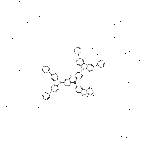 c1ccc(-c2ccc3c(c2)c2cc(-c4ccccc4)ccc2n3-c2ccc3c(c2)Sc2cc(-n4c5ccc(-c6ccccc6)cc5c5cc(-c6ccccc6)ccc54)ccc2N3c2ccc3oc4ccccc4c3c2)cc1